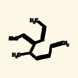 C=C/C=C\C(C)C(/C=C\C)=C\SC